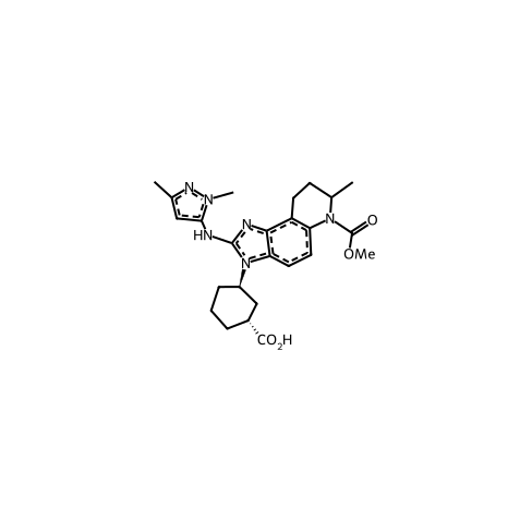 COC(=O)N1c2ccc3c(nc(Nc4cc(C)nn4C)n3[C@@H]3CCC[C@@H](C(=O)O)C3)c2CCC1C